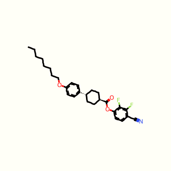 CCCCCCCCOc1ccc([C@H]2CC[C@H](C(=O)Oc3ccc(C#N)c(F)c3F)CC2)cc1